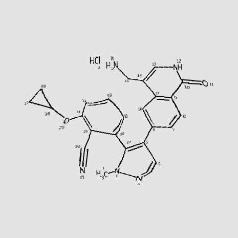 Cl.Cn1ncc(-c2ccc3c(=O)[nH]cc(CN)c3c2)c1-c1cccc(OC2CC2)c1C#N